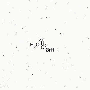 Br.O.O.[Zn]